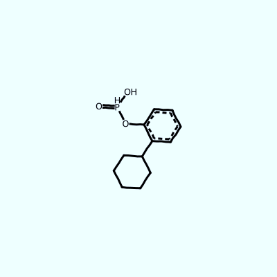 O=[PH](O)Oc1ccccc1C1CCCCC1